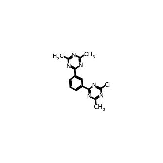 Cc1nc(C)nc(-c2cccc(-c3nc(C)nc(Cl)n3)c2)n1